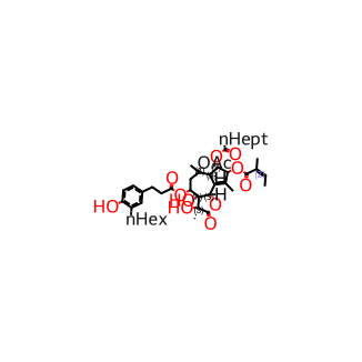 C/C=C(/C)C(=O)OC1C(C)=C2[C@H]([C@@H]1OC(=O)CCCCCCC)[C@@](C)(OC(C)=O)CC(OC(=O)CCc1ccc(O)c(CCCCCC)c1)[C@@]1(O)[C@H]2OC(=O)[C@@]1(C)O